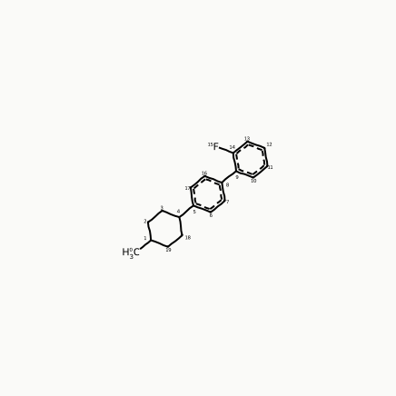 CC1CCC(c2ccc(-c3ccccc3F)cc2)CC1